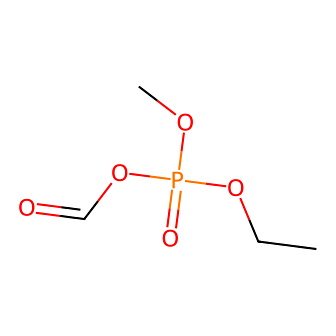 CCOP(=O)(OC)OC=O